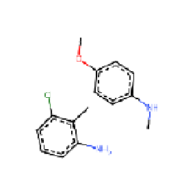 CNc1ccc(OC)cc1.Cc1c(N)cccc1Cl